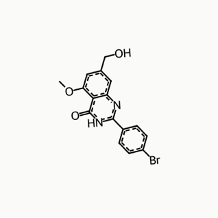 COc1cc(CO)cc2nc(-c3ccc(Br)cc3)[nH]c(=O)c12